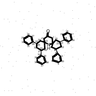 O=C1CC2(C[C@H](c3ccccc3)C[C@H](c3ccccc3)C2)NC2(C1)C[C@H](c1ccccc1)C[C@H](c1ccccc1)C2